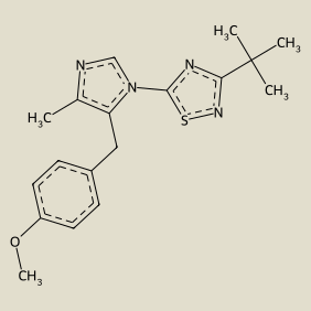 COc1ccc(Cc2c(C)ncn2-c2nc(C(C)(C)C)ns2)cc1